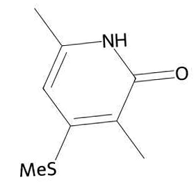 CSc1cc(C)[nH]c(=O)c1C